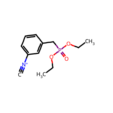 [C-]#[N+]c1cccc(CP(=O)(OCC)OCC)c1